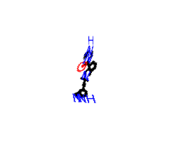 CC(C)(C#Cc1ccc2[nH]ncc2c1)N1Cc2cccc(C(=O)N3CCNCC3)c2C1